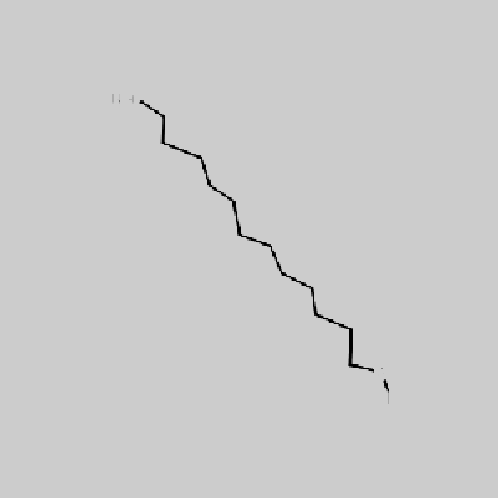 CCCCCCCCCCCCCCCCCCCC[CH2][Al][F]